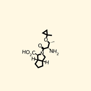 C[C@@H](OC1(C)CC1)[C@H](N)C(=O)N1C[C@@H]2CCC[C@@H]2[C@H]1C(=O)O